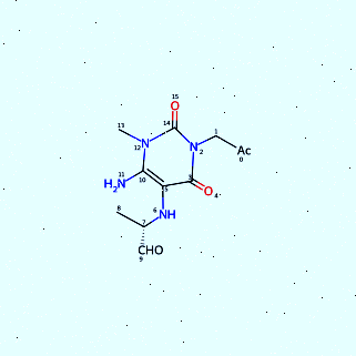 CC(=O)Cn1c(=O)c(N[C@@H](C)C=O)c(N)n(C)c1=O